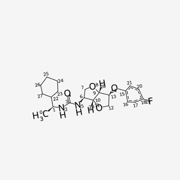 C[C@H](NC(=O)N[C@H]1CO[C@H]2[C@@H]1OC[C@@H]2Oc1ccc(F)cc1)C1CCCCC1